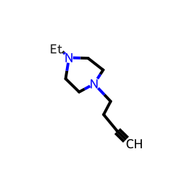 C#CCCN1CCN(CC)CC1